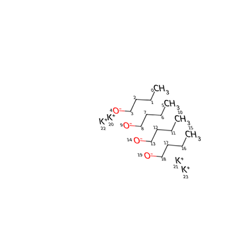 CCCC[O-].CCCC[O-].CCCC[O-].CCCC[O-].[K+].[K+].[K+].[K+]